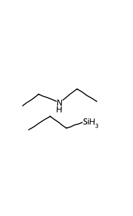 CCC[SiH3].CCNCC